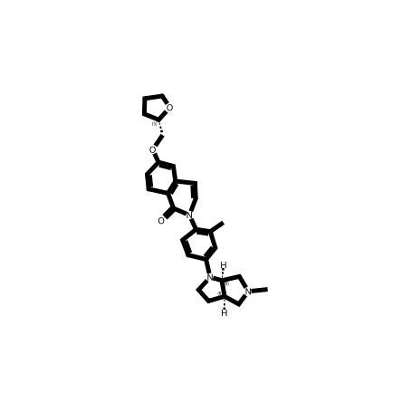 Cc1cc(N2CC[C@@H]3CN(C)C[C@@H]32)ccc1-n1ccc2cc(OC[C@@H]3CCCO3)ccc2c1=O